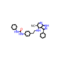 N#Cc1cnc2[nH]nc(-c3ccccc3)c2c1NCCc1ccc(NC(=O)Nc2ccccc2)cc1